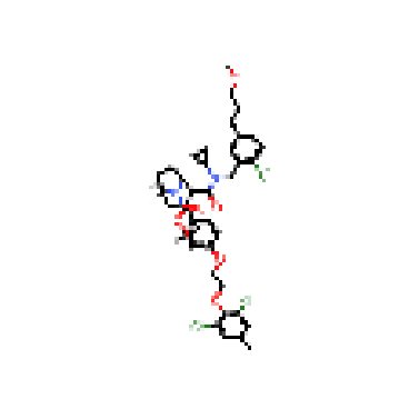 COCCCc1ccc(Cl)c(CN(C(=O)C2C(c3ccc(OCCOc4c(Cl)cc(C)cc4Cl)cc3)C[C@@H]3CCC2N3C(=O)OC(C)(C)C)C2CC2)c1